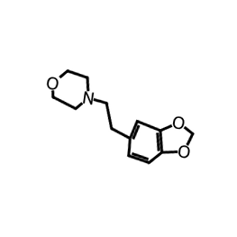 c1cc2c(cc1CCN1CCOCC1)OCO2